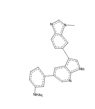 CC(=O)Nc1cccc(-c2cnc3[nH]cc(-c4ccc5ncn(C)c5c4)c3c2)c1